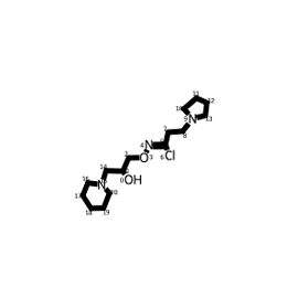 OC(CON=C(Cl)CCN1CCCC1)CN1CCCCC1